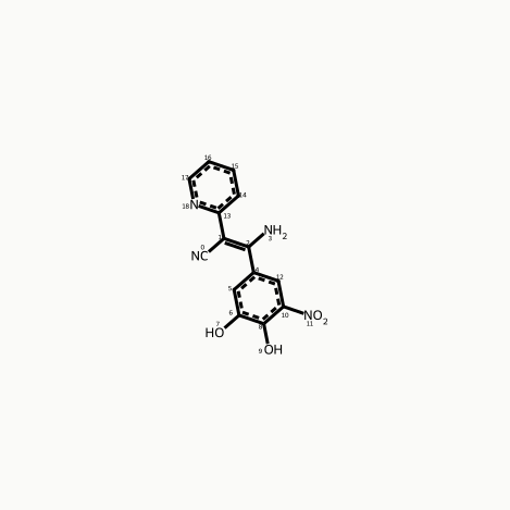 N#C/C(=C(/N)c1cc(O)c(O)c([N+](=O)[O-])c1)c1ccccn1